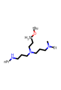 CCCNCCCN(CCCN(C)CC)CC[SiH2]OC(C)(C)C